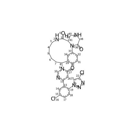 O=C1NCCCCCC(n2cnc(-c3cc(Cl)ccc3-n3cc(Cl)nn3)cc2=O)c2cccc(c2)N2C(=O)CNC[C@H]12